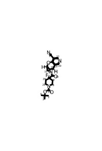 CC(C)(C)OC(=O)N1CCC(F)(C(=O)N2C[C@@H]3C[C@H]2c2cncc(C#N)c2O3)CC1